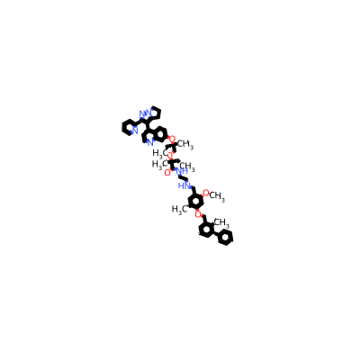 CCC(C)(COC(C)(CC)C(=O)NCCNCc1cc(C)c(OCc2cccc(-c3ccccc3)c2C)cc1OC)Oc1ccc2c(-c3c(-c4ccccn4)nn4c3CCC4)ccnc2c1